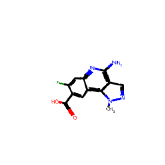 Cn1ncc2c(N)nc3cc(F)c(C(=O)O)cc3c21